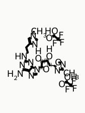 Cc1noc([C@H]2O[C@@H](n3cnc4c(N)nc(NCCc5cn(C)cn5)nc43)[C@H](O)[C@@H]2O)n1.O=C(O)C(F)(F)F.O=C(O)C(F)(F)F